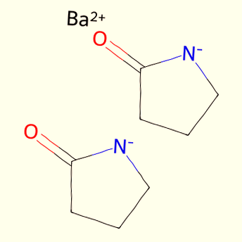 O=C1CCC[N-]1.O=C1CCC[N-]1.[Ba+2]